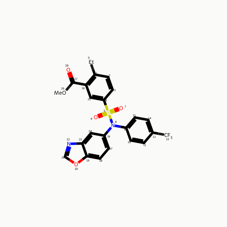 CCc1ccc(S(=O)(=O)N(c2ccc(C(F)(F)F)cc2)c2ccc3ocnc3c2)cc1C(=O)OC